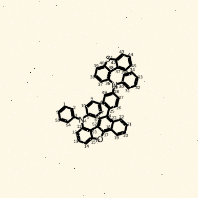 c1ccc(N(c2ccccc2)c2cccc3oc4c5ccccc5c(-c5ccc(N(c6ccccc6)c6cccc7sc8ccccc8c67)cc5)cc4c23)cc1